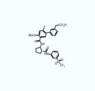 COc1cc(F)c(-c2cccc(CC(=O)O)c2)cc1C(=O)N[C@@H]1CCC[C@@H]1C(=O)Nc1cccc(S(=O)(=O)C(F)(F)F)c1